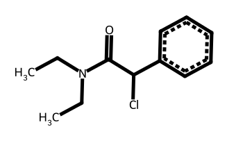 CCN(CC)C(=O)C(Cl)c1ccccc1